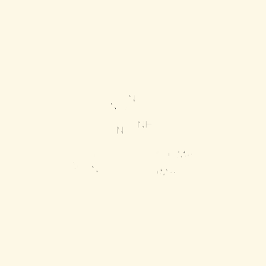 COc1ccc(Nc2nc(-c3ccc4scnc4c3)cn3ccnc23)cc1OC